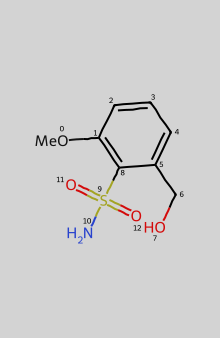 COc1cccc(CO)c1S(N)(=O)=O